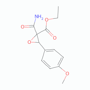 CCOC(=O)C1(C(N)=O)OC1c1ccc(OC)cc1